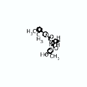 Cc1cccc(C2CCN(C(=O)Cn3nc(C(=O)N4CC[C@H](O)[C@H](C)C4)c4c3C[C@H]3C[C@@H]43)CC2)c1C